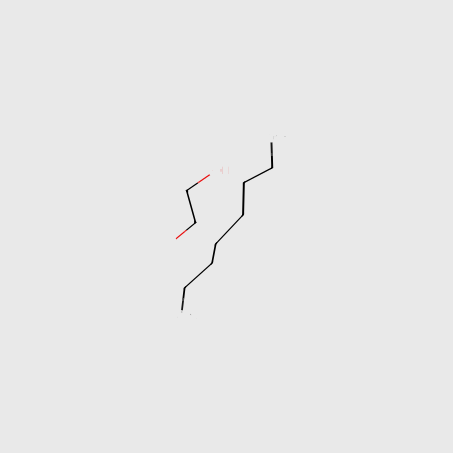 CCCCCCCCCCCCCCOC(C)=O.OCCO